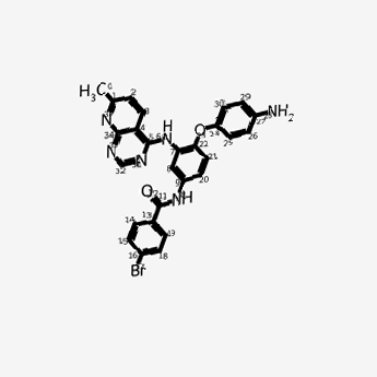 Cc1ccc2c(Nc3cc(NC(=O)c4ccc(Br)cc4)ccc3Oc3ccc(N)cc3)ncnc2n1